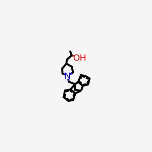 CC(O)CC1CCN(CC23CC(c4ccccc42)c2ccccc23)CC1